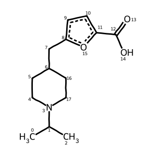 CC(C)N1CCC(Cc2ccc(C(=O)O)o2)CC1